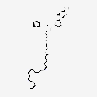 CC/C=C\C/C=C\C/C=C\C/C=C\C/C=C\CCCC(=O)NCCSSCCNP(=O)(OC[C@H]1OC(n2cnc(N)nc2=O)[C@H](O)[C@@H]1O)Oc1ccccc1